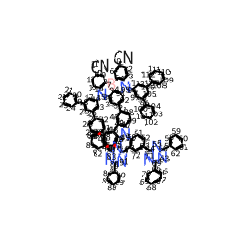 N#Cc1ccc2c(c1)B1c3cc(C#N)ccc3N(c3cc(-c4ccccc4)cc(-c4ccccc4)c3)c3cc(-c4ccc5c(c4)c4ccccc4n5-c4ccc(-c5nc(-c6ccccc6)nc(-c6ccccc6)n5)cc4-c4nc(-c5ccccc5)nc(-c5ccccc5)n4)cc(c31)N2c1cc(-c2ccccc2)cc(-c2ccccc2)c1